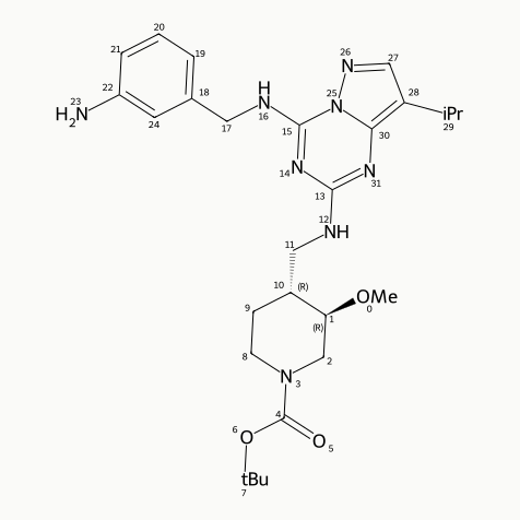 CO[C@H]1CN(C(=O)OC(C)(C)C)CC[C@@H]1CNc1nc(NCc2cccc(N)c2)n2ncc(C(C)C)c2n1